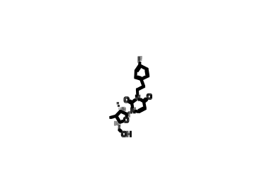 CC1[C@@H](CO)O[C@@H](n2ccc(=O)n(CCc3ccc(F)cc3)c2=O)[C@H]1C